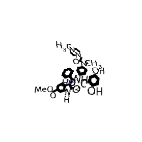 COC(=O)c1ccc2c(c1)NC(=O)/C2=C(\Nc1ccc(N(C)C(=O)CN2CCN(C)CC2)cc1)c1ccccc1.O=C(O)c1cc(O)ccc1O